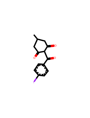 CC1CC(=O)C(C(=O)c2ccc(I)cc2)C(=O)C1